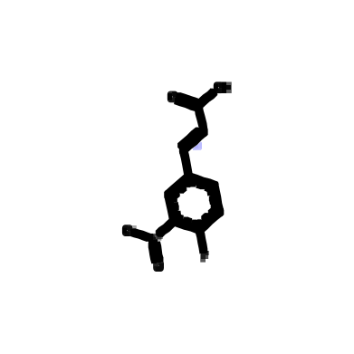 O=C(O)/C=C/c1ccc(F)c([N+](=O)[O-])c1